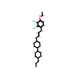 CCCC1CCC(C2CCC(CCCCc3ccc(OCC)c(F)c3F)CC2)CC1